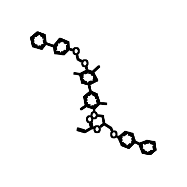 C=CC(=O)OC(COc1ccc(-c2ccccc2)cc1)COc1c(C)cc(-c2cc(C)c(OCOc3ccc(-c4ccccc4)cc3)c(C)c2)cc1C